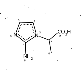 CC(C(=O)O)n1ccnc1N